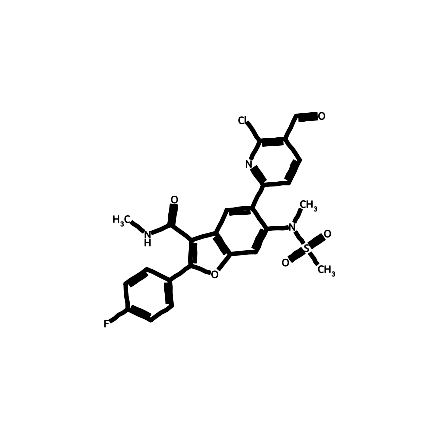 CNC(=O)c1c(-c2ccc(F)cc2)oc2cc(N(C)S(C)(=O)=O)c(-c3ccc(C=O)c(Cl)n3)cc12